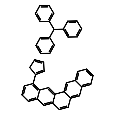 C1=CCC(c2cccc3cc4ccc5cc6ccccc6cc5c4cc23)=C1.c1ccc(C(c2ccccc2)c2ccccc2)cc1